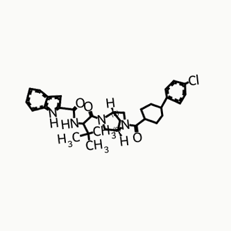 CC(C)(C)C(NC(=O)c1cc2ccccc2[nH]1)C(=O)N1C[C@@H]2C[C@H]1CN2C(=O)C1CCC(c2ccc(Cl)cc2)CC1